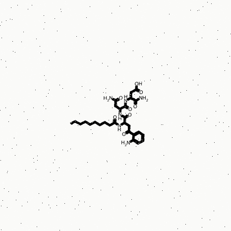 CCCCCCCCCC(=O)NC(CC(=O)c1ccccc1N)C(=O)NC(CC(N)=O)C(=O)NC(CC(=O)O)C(N)=O